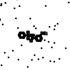 CCSc1cccc(C(=O)NS(=O)(=O)c2ccccc2)c1